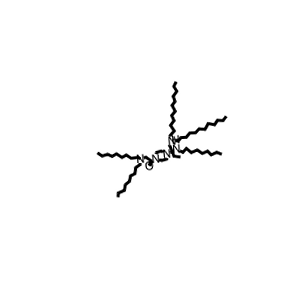 CCCCCCCCCCCCN(CCCCCCCCCCCC)CC(CC)(NCCCCCCCCC)N1CCN(C(=O)CN(CCCCCCCCC)CCCCCCCCC)CC1